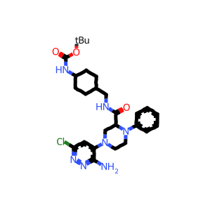 CC(C)(C)OC(=O)NC1CCC(CNC(=O)C2CN(c3cc(Cl)nnc3N)CCN2c2ccccc2)CC1